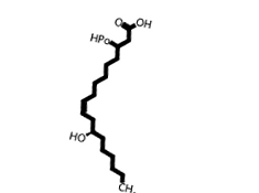 CCCCCC[C@@H](O)C/C=C\CCCCC[CH]([PoH])CC(=O)O